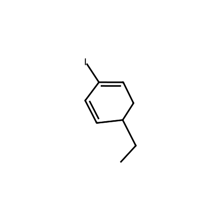 CCC1C=CC(I)=CC1